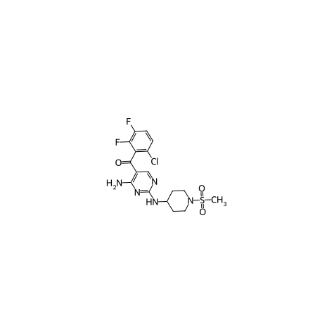 CS(=O)(=O)N1CCC(Nc2ncc(C(=O)c3c(Cl)ccc(F)c3F)c(N)n2)CC1